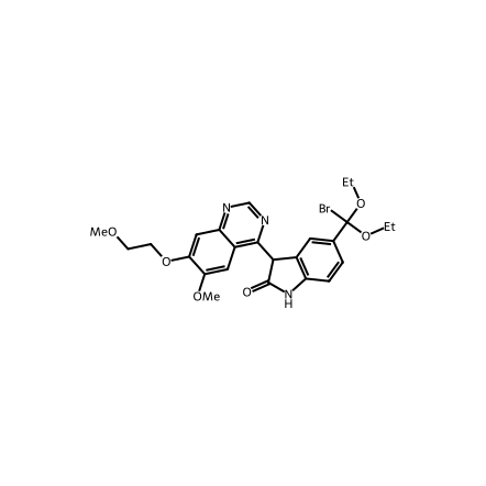 CCOC(Br)(OCC)c1ccc2c(c1)C(c1ncnc3cc(OCCOC)c(OC)cc13)C(=O)N2